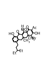 CCC(CC)CCc1ccc(O)c2c1C[C@]1(C)C[C@]3(C)C(C(C)C)C(O)=C(C(C)=O)C(=O)[C@]3(O)C(O)=C1C2=O